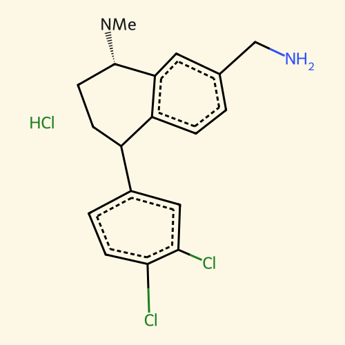 CN[C@H]1CCC(c2ccc(Cl)c(Cl)c2)c2ccc(CN)cc21.Cl